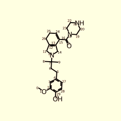 COc1cc(CCC(C)(C)N2CC3=C(C2)C(C(=O)N2CCNCC2)=CCC3)ccc1O